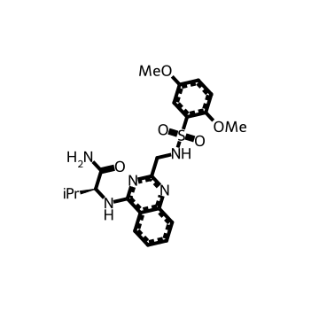 COc1ccc(OC)c(S(=O)(=O)NCc2nc(N[C@H](C(N)=O)C(C)C)c3ccccc3n2)c1